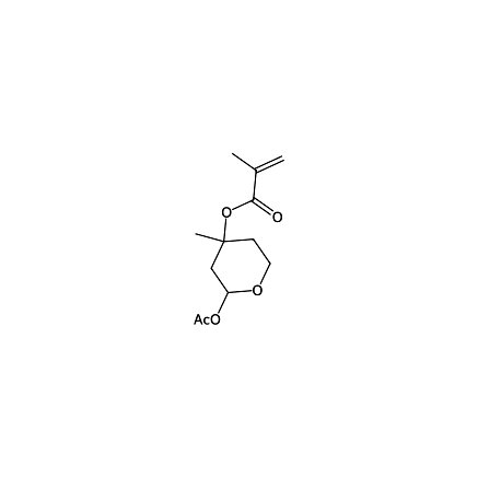 C=C(C)C(=O)OC1(C)CCOC(OC(C)=O)C1